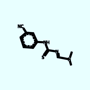 CN(C)/C=N/C(=S)Nc1cccc(C#N)c1